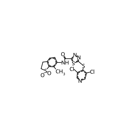 Cc1c(NC(=O)c2nnc(Sc3c(Cl)cncc3Cl)s2)ccc2c1S(=O)(=O)CC2